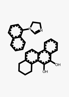 C1=NCCN1c1cccc2ccccc12.Oc1c(O)c2c3c(ccc2c2ccccc12)CCCC3